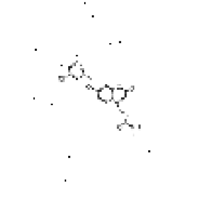 CNC(=O)CCc1cc(=O)oc2cc(OCc3cccc(Cl)c3)ccc12